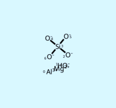 [Al+3].[Mg+2].[O-][Si]([O-])([O-])[O-].[OH-]